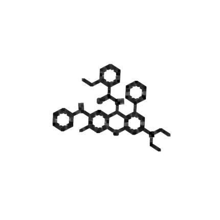 CCc1ccccc1C(=O)NC1c2cc(Nc3ccccc3)c(C)cc2Oc2cc(N(CC)CC)cc(-c3ccccc3)c21